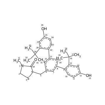 CN1CSC(Cc2cc(-c3ccc(O)cc3C(C)(C)C)cc(-c3ccc(O)cc3C(C)(C)C)c2)C1=O